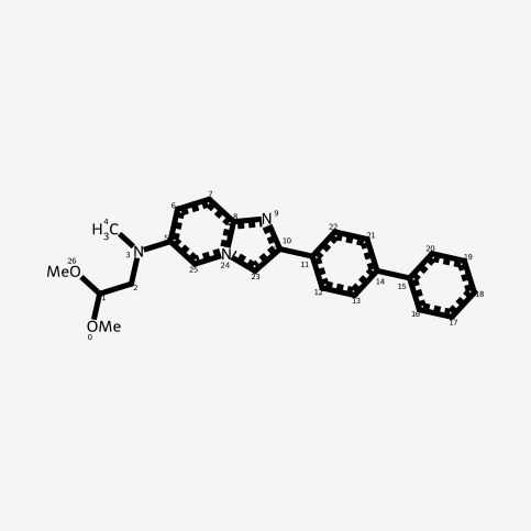 COC(CN(C)c1ccc2nc(-c3ccc(-c4ccccc4)cc3)cn2c1)OC